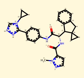 Cn1nccc1C(=O)N[C@H](C(=O)Nc1ccc(-c2nncn2C2CC2)cc1)C1c2ccccc2CC12CC2